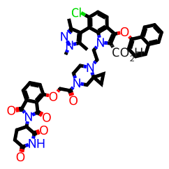 Cc1nn(C)c(C)c1-c1c(Cl)ccc2c(Oc3cccc4ccccc34)c(C(=O)O)n(CCN3CCN(C(=O)COc4cccc5c4C(=O)N(C4CCC(=O)NC4=O)C5=O)CC34CC4)c12